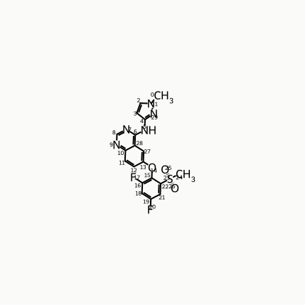 Cn1ccc(Nc2ncnc3ccc(Oc4c(F)cc(F)cc4S(C)(=O)=O)cc23)n1